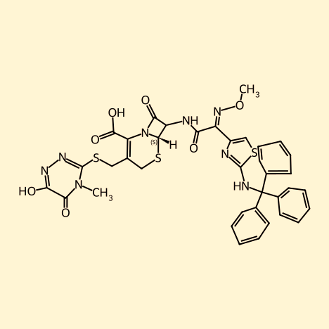 CON=C(C(=O)NC1C(=O)N2C(C(=O)O)=C(CSc3nnc(O)c(=O)n3C)CS[C@@H]12)c1csc(NC(c2ccccc2)(c2ccccc2)c2ccccc2)n1